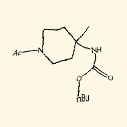 CCCCOC(=O)NC1(C)CCN(C(C)=O)CC1